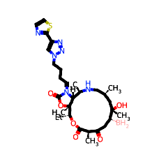 B[C@@H]1CC(=O)[C@@H](C)C(=O)O[C@H](CC)[C@@]2(C)OC(=O)N(CCCCn3cc(-c4nccs4)nn3)[C@@H]2[C@@H](C)NC[C@H](C)C[C@]1(C)O